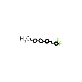 CCC[C@H]1CC[C@H](C2CCC(c3ccc(/C=C/c4ccc(F)c(F)c4)cc3)CC2)CC1